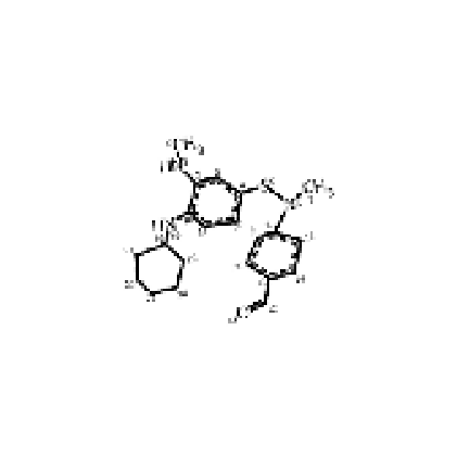 CNc1cc(SN(C)c2ccc(C=O)cc2)ccc1NC1CCCCC1